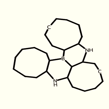 C1CCCC2NC3CCCCCCC4NC5CCCCCCCC5B(C2CCC1)C34